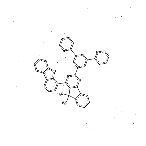 CC1(C)c2ccccc2-c2nc(-c3cc(-c4ccccn4)cc(-c4ccccn4)c3)nc(-c3cccc4c3oc3ccccc34)c21